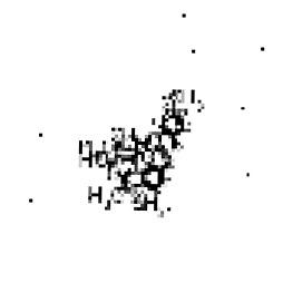 CCCC[C@@H](COC(=O)N(Cc1ccc(OC)cc1)Cc1ccc(OC)cc1)N(C(=O)O)C(C)(C)C